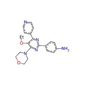 CCOc1c(-c2ccncc2)nc(-c2ccc(N)cc2)nc1N1CCOCC1